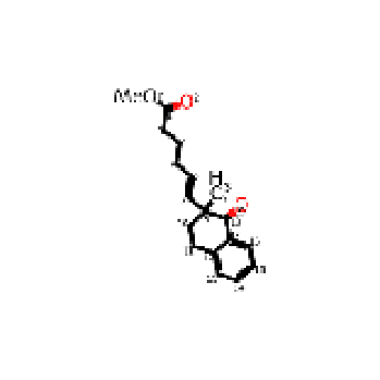 COC(=O)CCC/C=C/C1(C)CCc2ccccc2C1=O